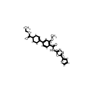 CCOC(=O)C1CC=C(c2ccc(C(=O)Nc3nnc(-c4cccs4)o3)c(OC)c2)CC1